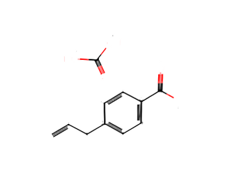 C=CCc1ccc(C(=O)O)cc1.O=C(O)O